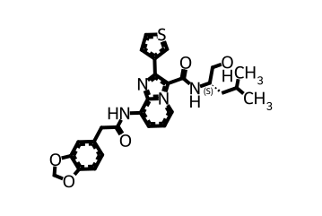 CC(C)C[C@@H](CO)NC(=O)c1c(-c2ccsc2)nc2c(NC(=O)Cc3ccc4c(c3)OCO4)cccn12